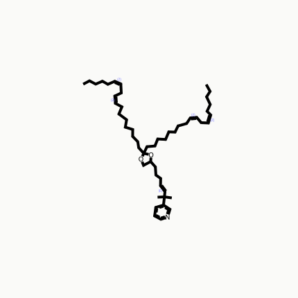 CCCCC/C=C\C/C=C\CCCCCCCCC1(CCCCCCCC/C=C\C/C=C\CCCCC)OCC(CCC/C=C/C(C)(C)c2cccnc2)O1